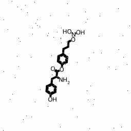 NC(Cc1ccc(O)cc1)C(=O)Oc1ccc(CCCON(O)O)cc1